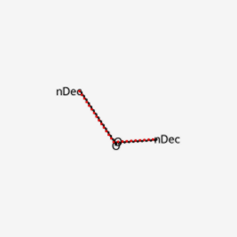 CCCCCCCCCCCCCCCCCCCCCCCCCCCCCCCCCCCCCCC(=O)OCCCCCCCCCCCCCCCCCCCCCCCCCCC